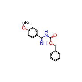 CCCCOc1ccc(C(=N)NC(=O)OCc2ccccc2)cc1